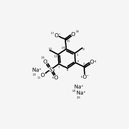 Cc1c(C(=O)[O-])cc(S(=O)(=O)[O-])c(C)c1C(=O)[O-].[Na+].[Na+].[Na+]